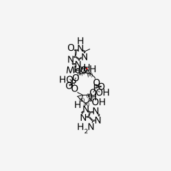 CO[C@@H]1[C@H]2COP(=O)(O)O[C@H]3[C@@H](O)[C@H](n4cnc5c(N)ncnc54)[C@H]4CC43COP(=O)(O)O[C@H]1[C@H](n1cnc3c(=O)[nH]c(C)nc31)C2